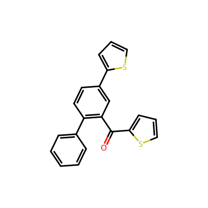 O=C(c1cccs1)c1cc(-c2cccs2)ccc1-c1ccccc1